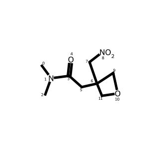 CN(C)C(=O)CC1(C[N+](=O)[O-])COC1